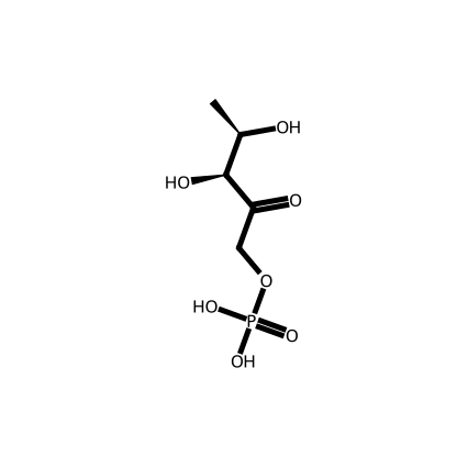 C[C@@H](O)[C@H](O)C(=O)COP(=O)(O)O